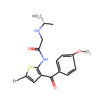 CCc1cc(C(=O)c2ccc(OC(F)(F)F)cc2)c(NC(=O)CN[C@@H](C)C(=O)O)s1